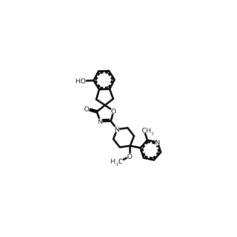 COC1(c2cccnc2C)CCN(C2=NC(=O)C3(Cc4cccc(O)c4C3)O2)CC1